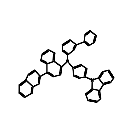 c1ccc(-c2cccc(N(c3ccc(-n4c5ccccc5c5ccccc54)cc3)c3ccc(-c4ccc5ccccc5c4)c4ccccc34)c2)cc1